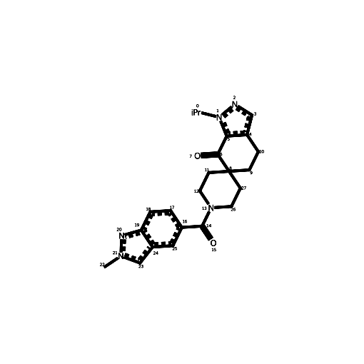 CC(C)n1ncc2c1C(=O)C1(CC2)CCN(C(=O)c2ccc3nn(C)cc3c2)CC1